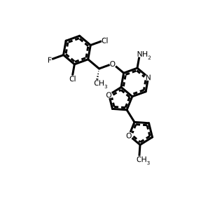 Cc1ccc(-c2coc3c(O[C@H](C)c4c(Cl)ccc(F)c4Cl)c(N)ncc23)o1